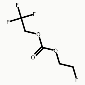 O=C(OCCF)OCC(F)(F)F